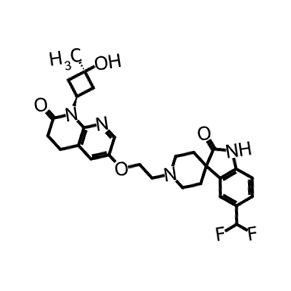 C[C@]1(O)C[C@@H](N2C(=O)CCc3cc(OCCN4CCC5(CC4)C(=O)Nc4ccc(C(F)F)cc45)cnc32)C1